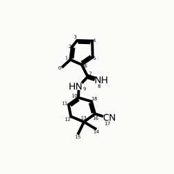 Cc1ccccc1C(=N)NC1=CCC(C)(C)C(C#N)=C1